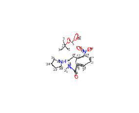 CC(C)(C)OC=O.O=c1c2cccc([N+](=O)[O-])c2ccn1C[C@@H]1CCCN1